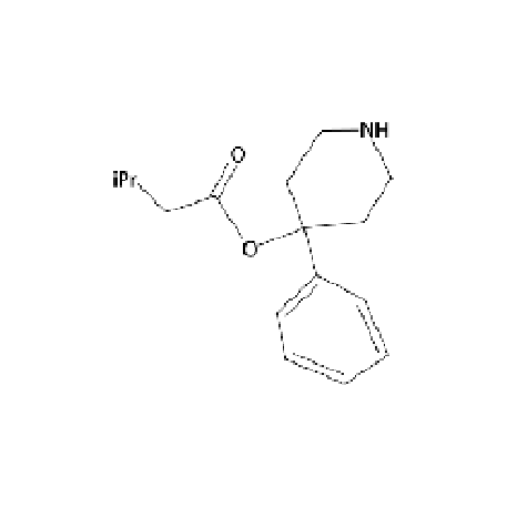 CC(C)CC(=O)OC1(c2ccccc2)CCNCC1